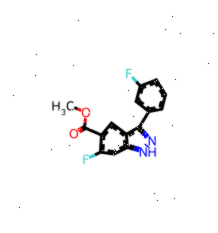 COC(=O)c1cc2c(-c3cccc(F)c3)n[nH]c2cc1F